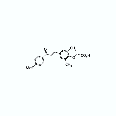 CSc1ccc(C(=O)/C=C/c2cc(C)c(OCC(=O)O)c(C)c2)cc1